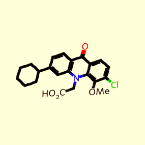 COc1c(Cl)ccc2c(=O)c3ccc(C4CCCCC4)cc3n(CC(=O)O)c12